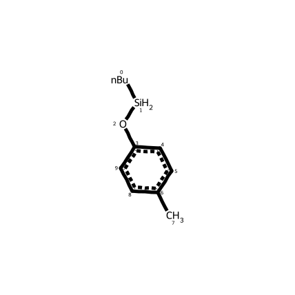 CCCC[SiH2]Oc1ccc(C)cc1